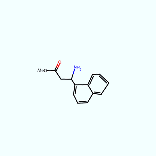 COC(=O)CC(N)c1cccc2ccccc12